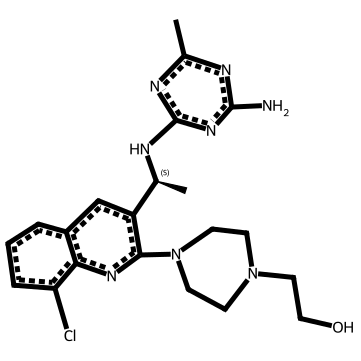 Cc1nc(N)nc(N[C@@H](C)c2cc3cccc(Cl)c3nc2N2CCN(CCO)CC2)n1